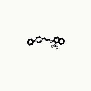 O=[N+]([O-])c1c(OCCCN2CCN(c3ccccc3)CC2)ccc2c1CCCC2